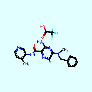 Cc1ccncc1NC(=O)c1nc(Cl)c(N(C)Cc2ccccc2)nc1N.O=C(O)C(F)(F)F